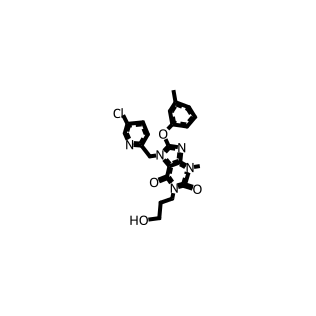 Cc1cccc(Oc2nc3c(c(=O)n(CCCO)c(=O)n3C)n2Cc2ccc(Cl)cn2)c1